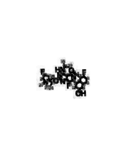 C#Cc1c(F)ccc2cc(O)cc(-c3nc4c5c(nc(OC[C@@]67CCC[N+]6(C)C[C@H](F)C7)nc5c3F)N[C@@H](C)CO4)c12